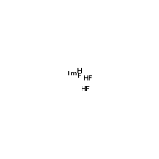 F.F.F.[Tm]